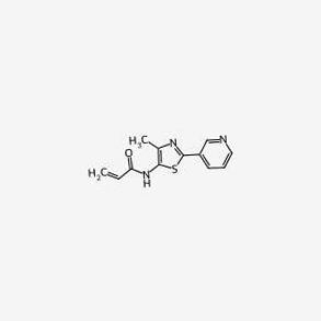 C=CC(=O)Nc1sc(-c2cccnc2)nc1C